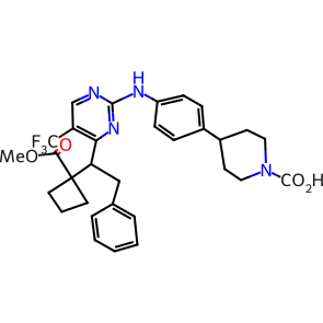 COC(=O)C1(C(Cc2ccccc2)c2nc(Nc3ccc(C4CCN(C(=O)O)CC4)cc3)ncc2C(F)(F)F)CCC1